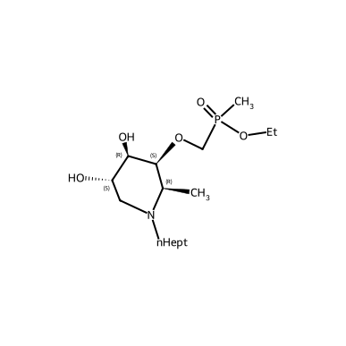 CCCCCCCN1C[C@H](O)[C@@H](O)[C@@H](OCP(C)(=O)OCC)[C@H]1C